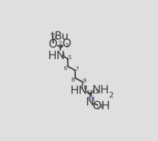 CC(C)(C)OC(=O)NCCCCCN/C(N)=N/O